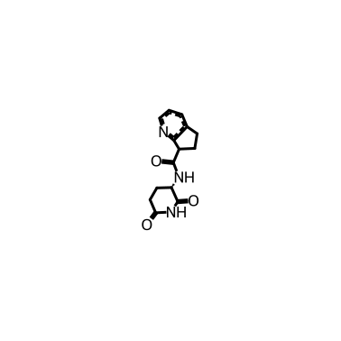 O=C1CC[C@H](NC(=O)C2CCc3cccnc32)C(=O)N1